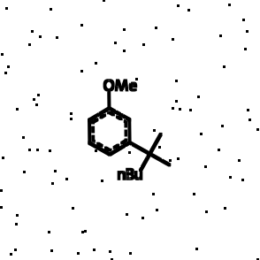 CCCCC(C)(C)c1cccc(OC)c1